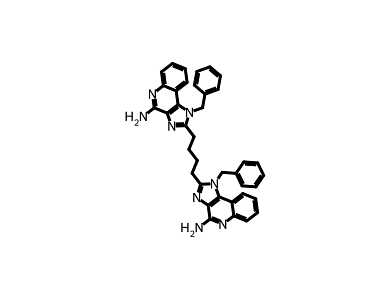 Nc1nc2ccccc2c2c1nc(CCCCc1nc3c(N)nc4ccccc4c3n1Cc1ccccc1)n2Cc1ccccc1